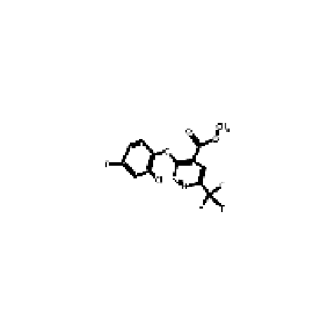 COC(=O)c1cc(C(F)(F)F)nnc1Oc1ccc(F)cc1Cl